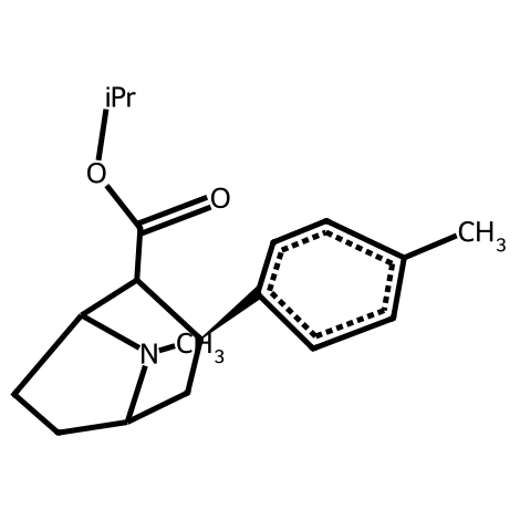 Cc1ccc([C@H]2CC3CCC(C2C(=O)OC(C)C)N3C)cc1